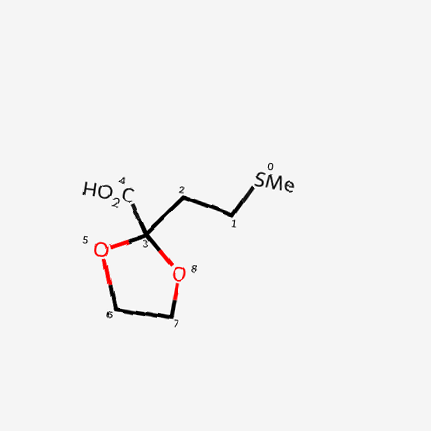 CSCCC1(C(=O)O)OCCO1